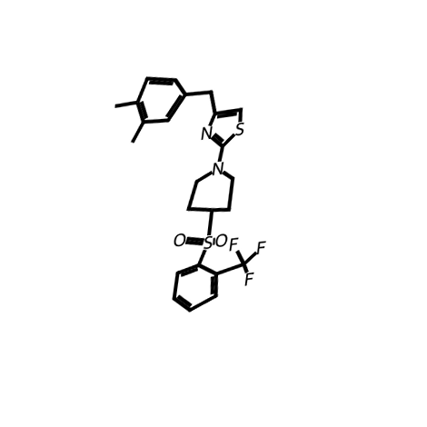 Cc1ccc(Cc2csc(N3CCC(S(=O)(=O)c4ccccc4C(F)(F)F)CC3)n2)cc1C